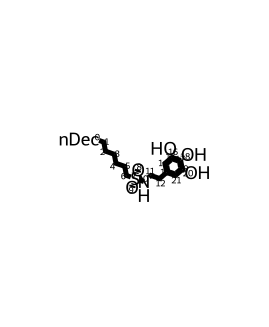 CCCCCCCCCCCCCCCCS(=O)(=O)NCCc1cc(O)c(O)c(O)c1